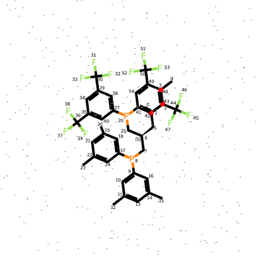 C=C(CCC)C[C@@H](CP(c1cc(C)cc(C)c1)c1cc(C)cc(C)c1)CP(c1cc(C(F)(F)F)cc(C(F)(F)F)c1)c1cc(C(F)(F)F)cc(C(F)(F)F)c1